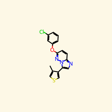 Cc1cscc1-c1cnc2ccc(Oc3cccc(Cl)c3)nn12